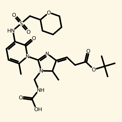 Cc1ccc(NS(=O)(=O)CC2CCCCO2)c(=O)n1C1=NC(=CCC(=O)OC(C)(C)C)C(C)N1CNC(=O)O